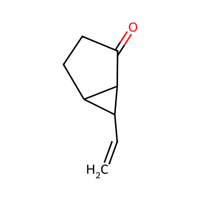 C=CC1C2CCC(=O)C12